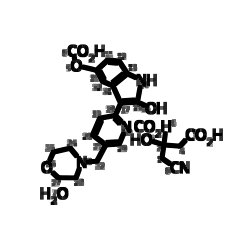 N#CCC(O)(CC(=O)O)C(=O)O.O.O=C(O)Oc1ccc2[nH]c(O)c(-c3ccc(CN4CCOCC4)cn3)c2c1